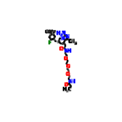 C=CC(=O)NCCOCCOCCOCCNC(=O)C[C@H]1C[C@H](Cc2cc(OC)ccc2F)Cn2c(N)nc(C)c21